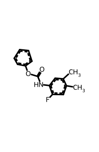 Cc1cc(F)c(NC(=O)Oc2ccccc2)cc1C